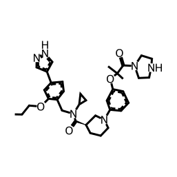 CCCOc1cc(-c2cn[nH]c2)ccc1CN(C(=O)[C@@H]1CCCN(c2cccc(OC(C)(C)C(=O)N3CCNCC3)c2)C1)C1CC1